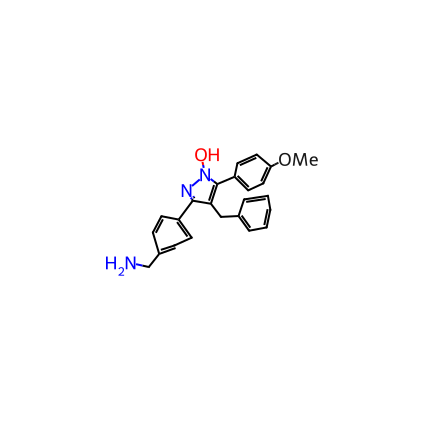 COc1ccc(-c2c(Cc3ccccc3)c(-c3ccc(CN)cc3)nn2O)cc1